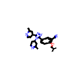 Cc1cc(-c2nnc(-c3ccc(OCC(C)C)c(C#N)c3)n2-c2ccnc(C)c2)ccn1